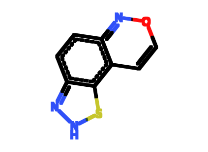 C1=Cc2c3c(ccc2=NO1)=NNS3